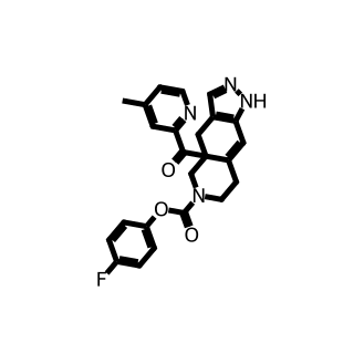 Cc1ccnc(C(=O)C23Cc4cn[nH]c4C=C2CCN(C(=O)Oc2ccc(F)cc2)C3)c1